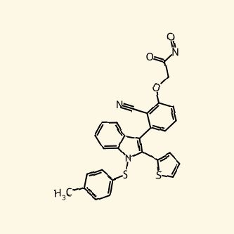 Cc1ccc(Sn2c(-c3cccs3)c(-c3cccc(OCC(=O)N=O)c3C#N)c3ccccc32)cc1